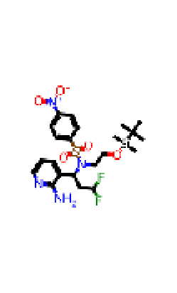 CC(C)(C)[Si](C)(C)OCCN(C(CC(F)F)c1cccnc1N)S(=O)(=O)c1ccc([N+](=O)[O-])cc1